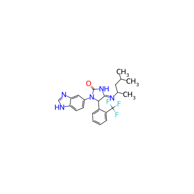 CC(C)CC(C)N=C1NC(=O)N(c2ccc3[nH]cnc3c2)C1c1ccccc1C(F)(F)F